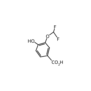 O=C(O)c1ccc(O)c(OC(F)F)c1